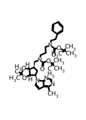 Cc1ncnc2c1ccn2[C@@H]1C[C@H](CN(CCCN(CCc2ccccc2)C(=O)OC(C)(C)C)C(=O)OC(C)(C)C)[C@H]2OC(C)(C)O[C@H]21